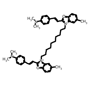 Cc1ccc2oc(/C=C/c3ccc(N(C)C)cc3)[n+](CCCCCCCCCC[n+]3c(/C=C/c4ccc(N(C)C)cc4)oc4ccc(C)cc43)c2c1